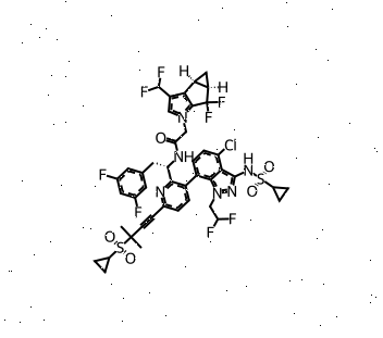 CC(C)(C#Cc1ccc(-c2ccc(Cl)c3c(NS(=O)(=O)C4CC4)nn(CC(F)F)c23)c([C@H](Cc2cc(F)cc(F)c2)NC(=O)Cn2cc(C(F)F)c3c2C(F)(F)[C@@H]2C[C@H]32)n1)S(=O)(=O)C1CC1